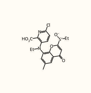 CCN(c1ccc(Cl)nc1C(=O)O)c1cc(C)cc2c(=O)cc([S+]([O-])CC)oc12